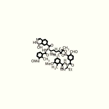 CC[C@@H](N(NC(=O)c1cccc(OC)c1C)C(=O)c1ccc(C=O)c(B2OC(C)(C)C(C)(CCC[C@@H](N(NC(=O)c3cccc(OC)c3C)C(=O)c3ccc4c(c3)B(O)NN=C4)C(C)(C)C)O2)c1)C(C)(C)C